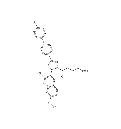 CCOc1ccc2cc(C3CC(c4ccc(-c5ccc(C(F)(F)F)nc5)cc4)=NN3C(=O)CCCC(=O)O)c(Cl)nc2c1